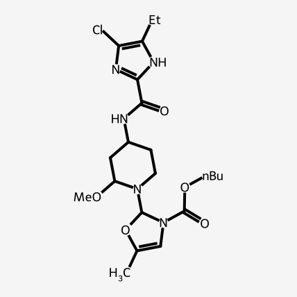 CCCCOC(=O)N1C=C(C)OC1N1CCC(NC(=O)c2nc(Cl)c(CC)[nH]2)CC1OC